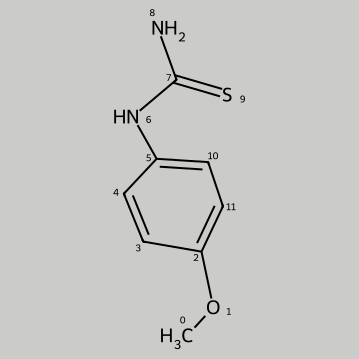 COc1ccc(NC(N)=S)cc1